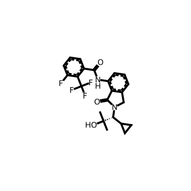 CC(C)(O)[C@@H](C1CC1)N1Cc2cccc(NC(=O)c3cccc(F)c3C(F)(F)F)c2C1=O